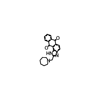 O=C1c2ccccc2C(=O)c2c1ccc1nc(CN3CCCCCC3)[nH]c21